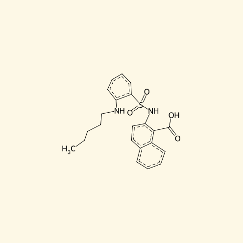 CCCCCNc1ccccc1S(=O)(=O)Nc1ccc2ccccc2c1C(=O)O